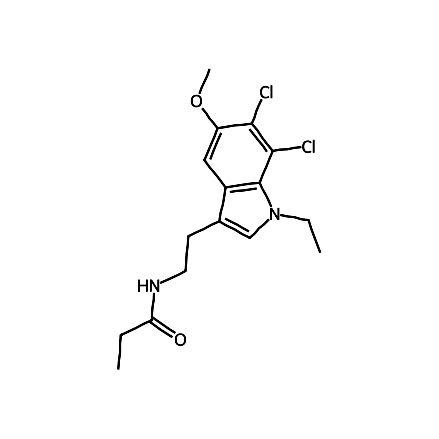 CCC(=O)NCCc1cn(CC)c2c(Cl)c(Cl)c(OC)cc12